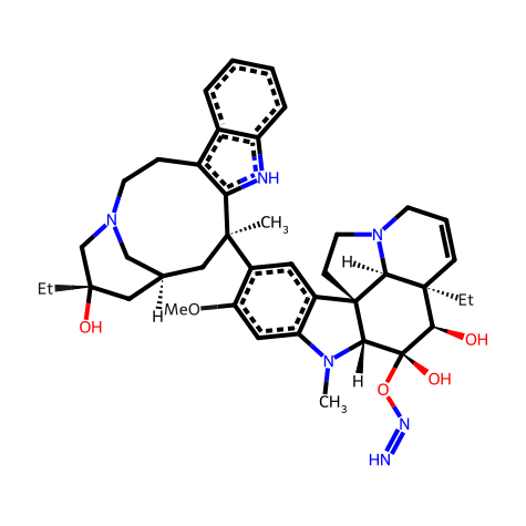 CC[C@]1(O)C[C@H]2CN(CCc3c([nH]c4ccccc34)[C@@](C)(c3cc4c(cc3OC)N(C)[C@H]3[C@@](O)(ON=N)[C@H](O)[C@]5(CC)C=CCN6CC[C@]43[C@@H]65)C2)C1